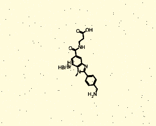 Br.Br.Cn1c(-c2ccc(CN)cc2)nc2cc(C(=O)NCCC(=O)O)ccc21